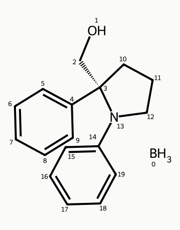 B.OC[C@]1(c2ccccc2)CCCN1c1ccccc1